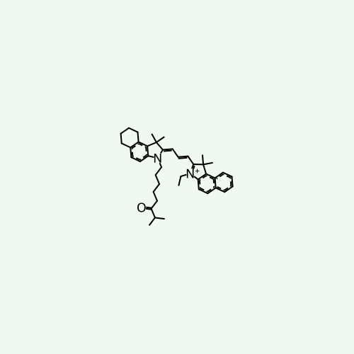 CC[N+]1=C(/C=C/C=C2\N(CCCCCC(=O)C(C)C)c3ccc4c(c3C2(C)C)CCCC4)C(C)(C)c2c1ccc1ccccc21